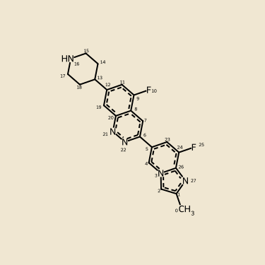 Cc1cn2cc(-c3cc4c(F)cc(C5CCNCC5)cc4nn3)cc(F)c2n1